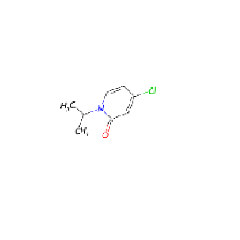 CC(C)n1ccc(Cl)cc1=O